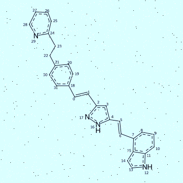 C(=C\c1cc(/C=C/c2cccc3[nH]ccc23)[nH]n1)/c1ccc(CCc2ccccn2)cc1